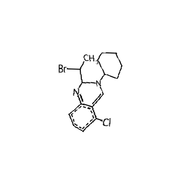 CC(Br)C1N=c2cccc(Cl)c2=CN1C1CCCCC1